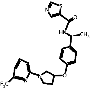 C[C@H](NC(=O)c1cncs1)c1ccc(OC2CCN(c3cccc(C(F)(F)F)n3)C2)cc1